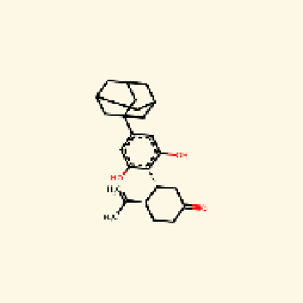 C=C(C)[C@@H]1CCC(=O)C[C@H]1c1c(O)cc(C23CC4CC(CC(C4)C2)C3)cc1O